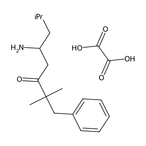 CC(C)CC(N)CC(=O)C(C)(C)Cc1ccccc1.O=C(O)C(=O)O